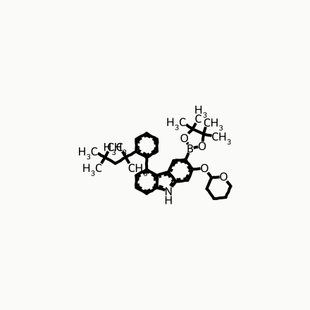 CC(C)(C)CC(C)(C)c1ccccc1-c1cccc2[nH]c3cc(OC4CCCCO4)c(B4OC(C)(C)C(C)(C)O4)cc3c12